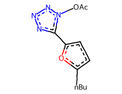 CCCCc1ccc(-c2nnnn2OC(C)=O)o1